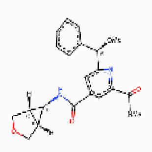 CNC(=O)c1cc(C(=O)N[C@H]2[C@@H]3COC[C@@H]32)cc([C@H](OC)c2ccccc2)n1